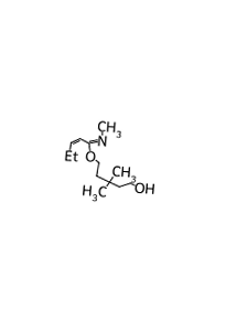 CC/C=C\C(=N/C)OCCC(C)(C)CCO